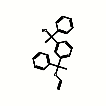 C=COC(C)(c1ccccc1)c1cccc(C(C)(O)c2ccccc2)c1